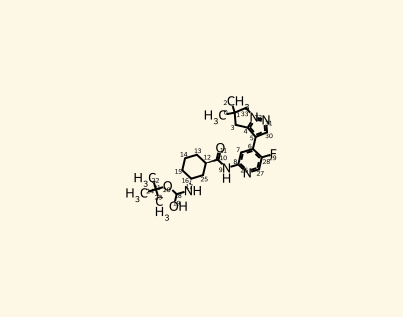 CC1(C)Cc2c(-c3cc(NC(=O)[C@@H]4CCC[C@@H](NC(O)OC(C)(C)C)C4)ncc3F)cnn2C1